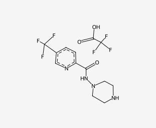 O=C(NN1CCNCC1)c1ccc(C(F)(F)F)cn1.O=C(O)C(F)(F)F